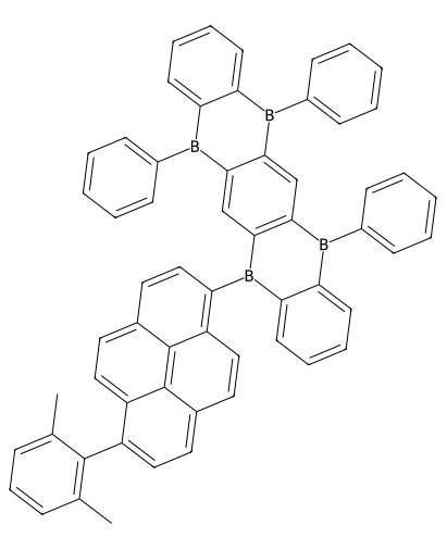 Cc1cccc(C)c1-c1ccc2ccc3c(B4c5ccccc5B(c5ccccc5)c5cc6c(cc54)B(c4ccccc4)c4ccccc4B6c4ccccc4)ccc4ccc1c2c43